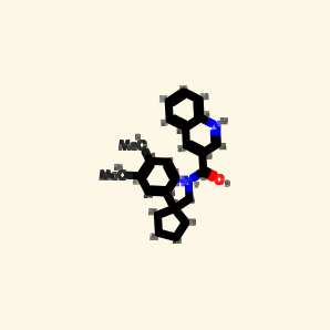 COc1ccc(C2(CNC(=O)c3cnc4ccccc4c3)CCCC2)cc1OC